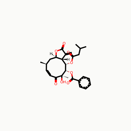 C=C1C(=O)O[C@@H]2C[C@H](C)/C=C\C(=O)[C@](C)(O)[C@@H](OC(=O)c3ccccc3)[C@@H](OC(=O)CC(C)C)[C@@H]12